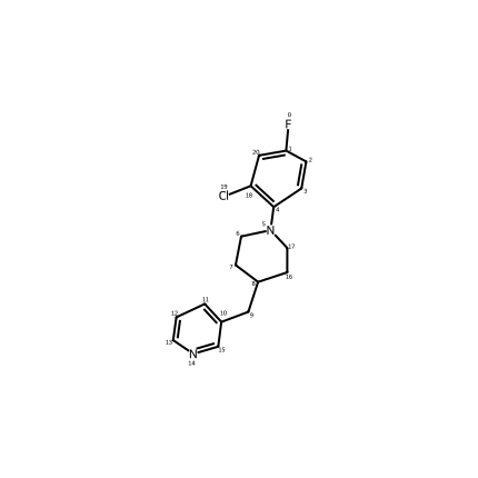 Fc1ccc(N2CCC(Cc3cccnc3)CC2)c(Cl)c1